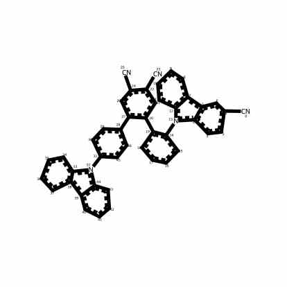 N#Cc1ccc2c(c1)c1ccccc1n2-c1ccccc1-c1cc(C#N)c(C#N)cc1-c1ccc(-n2c3ccccc3c3ccccc32)cc1